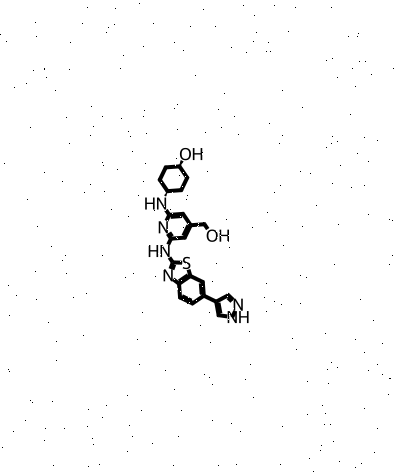 OCc1cc(Nc2nc3ccc(-c4cn[nH]c4)cc3s2)nc(N[C@H]2CC[C@H](O)CC2)c1